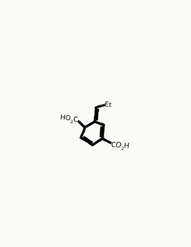 CCC=C1C=C(C(=O)O)C=CC1C(=O)O